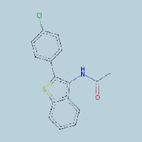 CC(=O)Nc1c(-c2ccc(Cl)cc2)sc2ccccc12